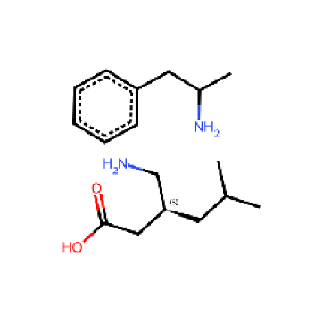 CC(C)C[C@H](CN)CC(=O)O.CC(N)Cc1ccccc1